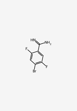 N=C(N)c1cc(F)c(Br)cc1F